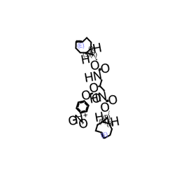 O=C(NCC(CNC(=O)OC[C@H]1[C@@H]2CC/C=C/CC[C@@H]21)OC(=O)Oc1ccc([N+](=O)[O-])cc1)OC[C@H]1[C@@H]2CC/C=C/CC[C@@H]21